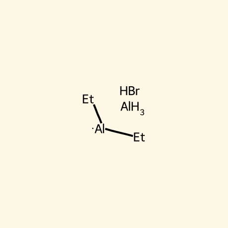 Br.C[CH2][Al][CH2]C.[AlH3]